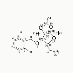 Cc1cccc(C)c1CO[C@@H]1[C@H]2OC(C)O[C@H]2O[C@@H]1CC(C)C